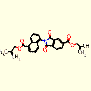 C=C(C)COC(=O)c1ccc2c(c1)C(=O)N(c1cccc3c(C(=O)OCC(=C)C)cccc13)C2=O